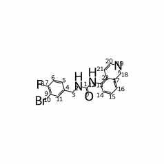 O=C(NCc1ccc(F)c(Br)c1)Nc1cccc2cnccc12